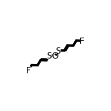 FCCC=CSOSC=CCCF